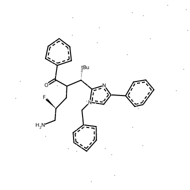 CC(C)(C)[C@H](c1nc(-c2ccccc2)cn1Cc1ccccc1)C(C[C@H](F)CN)C(=O)c1ccccc1